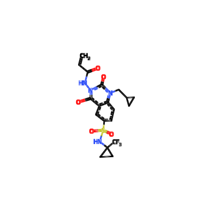 C=CC(=O)Nn1c(=O)c2cc(S(=O)(=O)NC3(C(F)(F)F)CC3)ccc2n(CC2CC2)c1=O